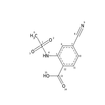 CS(=O)(=O)Nc1cc(C#N)ccc1C(=O)O